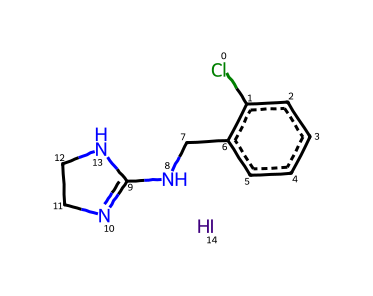 Clc1ccccc1CNC1=NCCN1.I